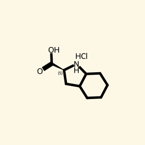 Cl.O=C(O)[C@@H]1CC2CCCCC2N1